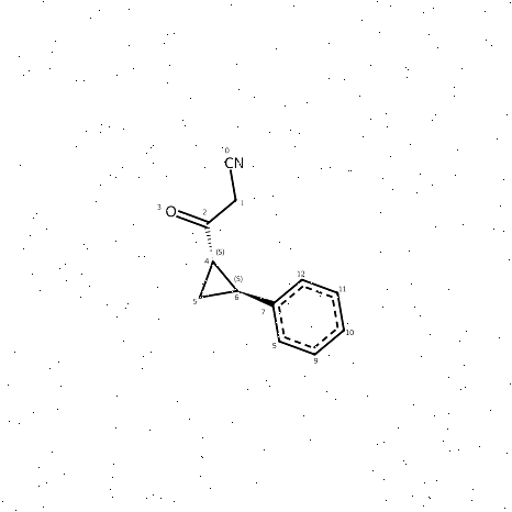 N#CCC(=O)[C@H]1C[C@@H]1c1ccccc1